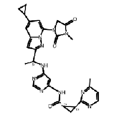 Cc1ccnc([C@H]2C[C@@H]2C(=O)Nc2cc(N[C@@H](C)c3cc4cc(C5CC5)cc(N5CC(=O)N(C)C5=O)n4n3)ncn2)n1